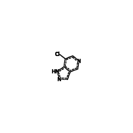 Clc1cncc2cn[nH]c12